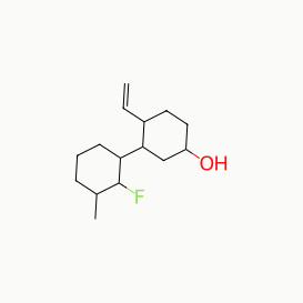 C=CC1CCC(O)CC1C1CCCC(C)C1F